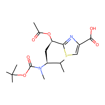 CC(=O)O[C@H](C[C@@H](C(C)C)N(C)C(=O)OC(C)(C)C)c1nc(C(=O)O)cs1